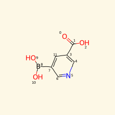 O=C(O)c1cncc(B(O)O)c1